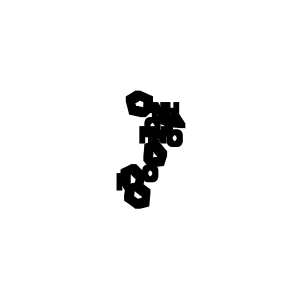 O=C(Nc1ccccc1)C1(C(=O)Nc2ccc(Oc3ccnc4ccccc34)cc2)CC1